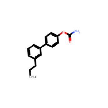 NC(=O)Oc1ccc(-c2cccc(CCC=O)c2)cc1